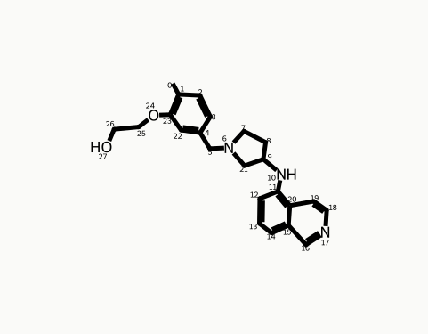 Cc1ccc(CN2CCC(Nc3cccc4cnccc34)C2)cc1OCCO